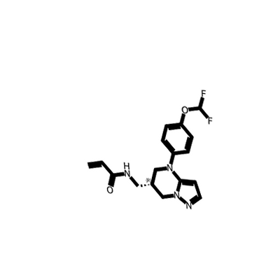 C=CC(=O)NC[C@@H]1CN(c2ccc(OC(F)F)cc2)c2ccnn2C1